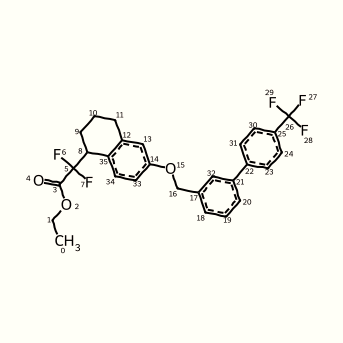 CCOC(=O)C(F)(F)C1CCCc2cc(OCc3cccc(-c4ccc(C(F)(F)F)cc4)c3)ccc21